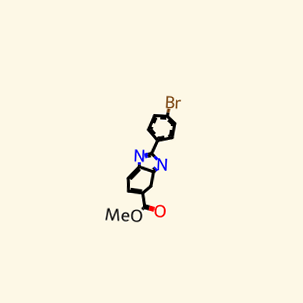 COC(=O)C1=CC=C2N=C(c3ccc(Br)cc3)N=C2C1